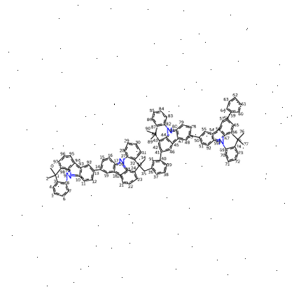 CC1(C)c2ccccc2-n2c3ccc(-c4ccc5c(c4)c4cccc6c4n5-c4ccccc4C6(C)Cc4cccc(-c5cc6c7c(c5)c5cc(-c8ccc9c(c8)c8cc(-c%10ccccc%10)cc%10c8n9-c8ccccc8C%10(C)C)ccc5n7-c5ccccc5C6(C)C)c4)cc3c3cccc1c32